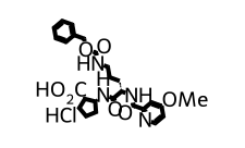 COc1ccnc(C(=O)N[C@@H](CCCNC(=O)OCc2ccccc2)C(=O)N[C@H]2CCC[C@H]2C(=O)O)c1.Cl